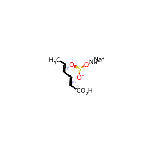 C/C=C/C=C/C(=O)O.O=S([O-])[O-].[Na+].[Na+]